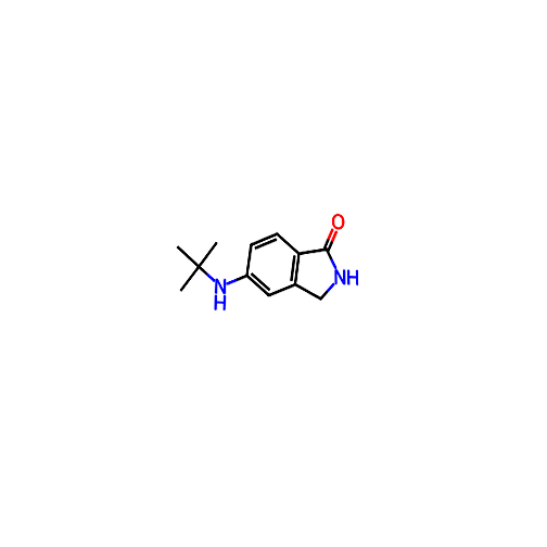 CC(C)(C)Nc1ccc2c(c1)CNC2=O